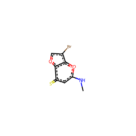 CNc1cc(=S)c2occ(Br)c2o1